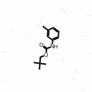 Cc1cccc(NC(=O)OCC(C)(C)C)c1